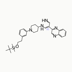 CC(C)(C)[Si](C)(C)OCCc1cccc(N2CCC(N/C=C(\C=N)c3cnc4ccccc4n3)CC2)c1